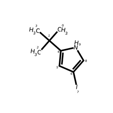 CC(C)(C)c1cc(I)c[nH]1